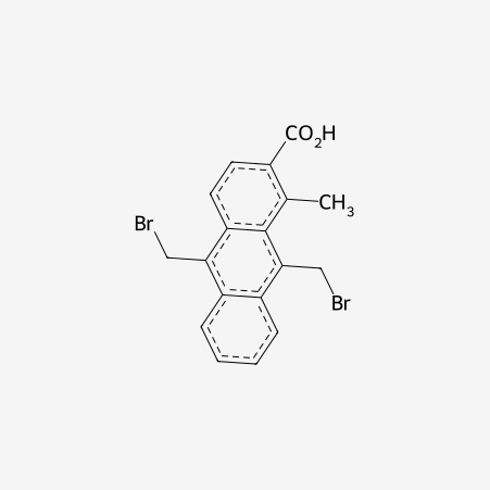 Cc1c(C(=O)O)ccc2c(CBr)c3ccccc3c(CBr)c12